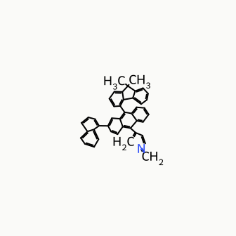 C=N/C=C\C(=C)c1c2ccccc2c(-c2cccc3c2-c2ccccc2C3(C)C)c2cc(-c3cccc4ccccc34)ccc12